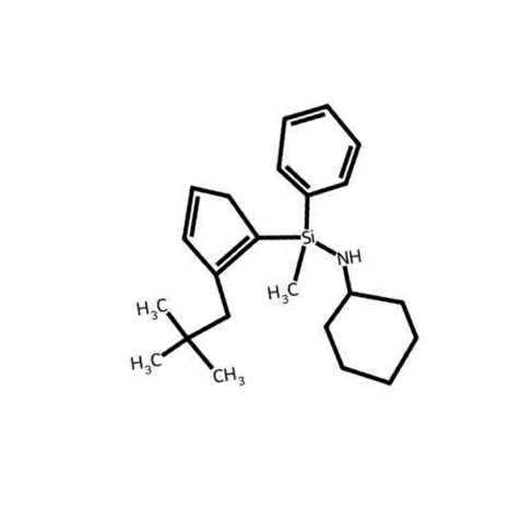 CC(C)(C)CC1=C([Si](C)(NC2CCCCC2)c2ccccc2)CC=C1